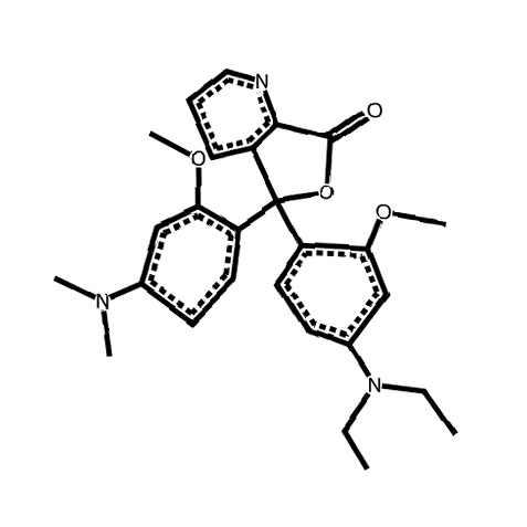 CCN(CC)c1ccc(C2(c3ccc(N(C)C)cc3OC)OC(=O)c3ncccc32)c(OC)c1